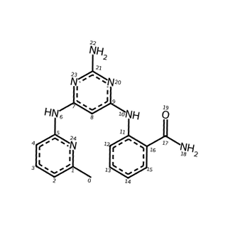 Cc1cccc(Nc2cc(Nc3ccccc3C(N)=O)nc(N)n2)n1